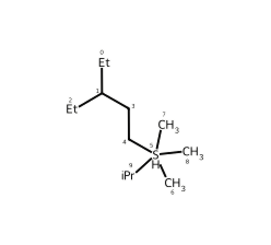 CCC(CC)CC[SH](C)(C)(C)C(C)C